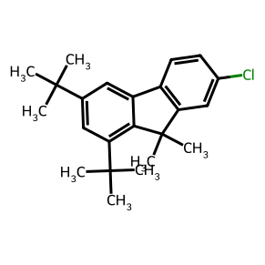 CC(C)(C)c1cc2c(c(C(C)(C)C)c1)C(C)(C)c1cc(Cl)ccc1-2